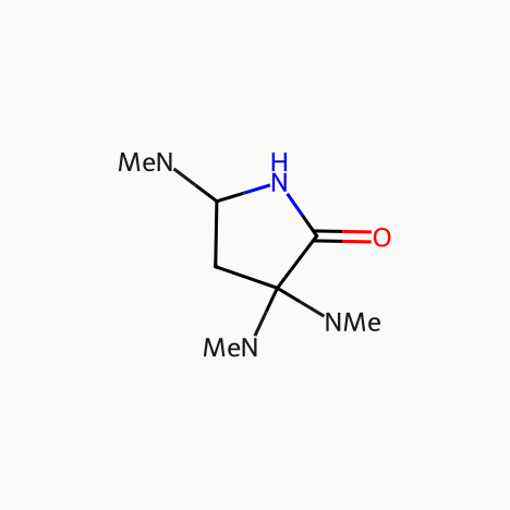 CNC1CC(NC)(NC)C(=O)N1